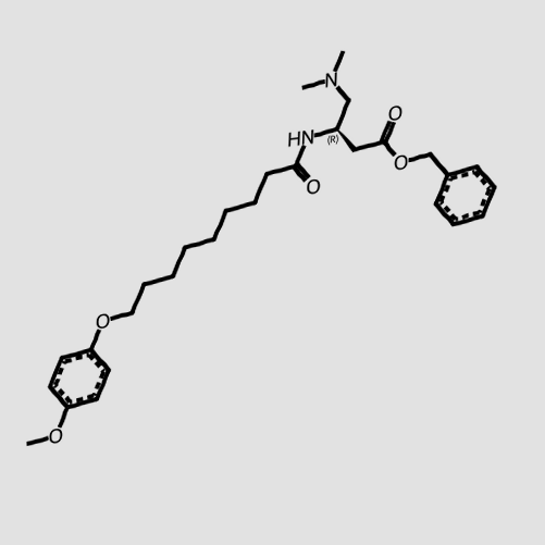 COc1ccc(OCCCCCCCCC(=O)N[C@H](CC(=O)OCc2ccccc2)CN(C)C)cc1